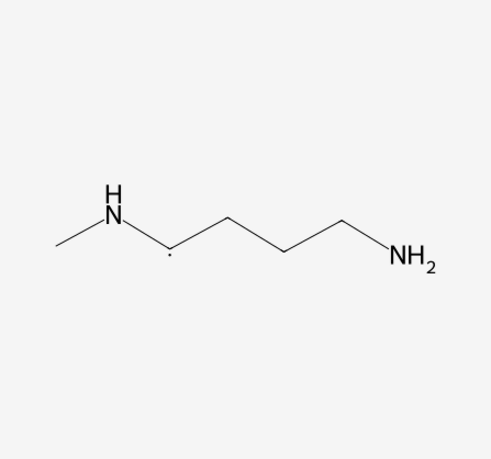 CN[CH]CCCN